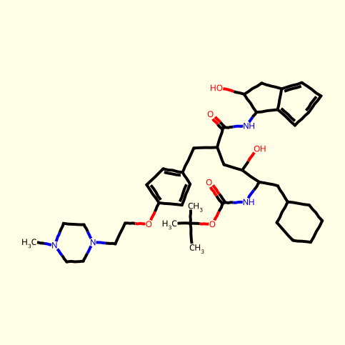 CN1CCN(CCOc2ccc(CC(CC(O)C(CC3CCCCC3)NC(=O)OC(C)(C)C)C(=O)NC3c4ccccc4CC3O)cc2)CC1